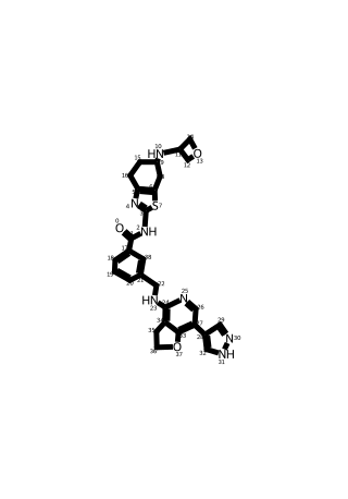 O=C(Nc1nc2c(s1)CC(NC1COC1)CC2)c1cccc(CNc2ncc(-c3cn[nH]c3)c3c2CCO3)c1